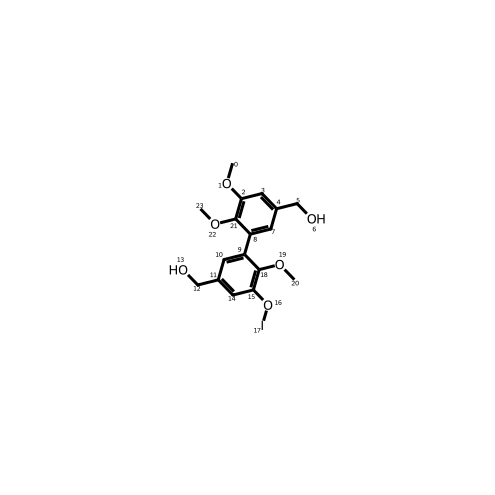 COc1cc(CO)cc(-c2cc(CO)cc(OI)c2OC)c1OC